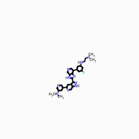 CN(C)CCNc1cc(F)cc(-c2cncc3[nH]c(-c4n[nH]c5cnc(-c6cncc(N(C)C)c6)cc45)nc23)c1